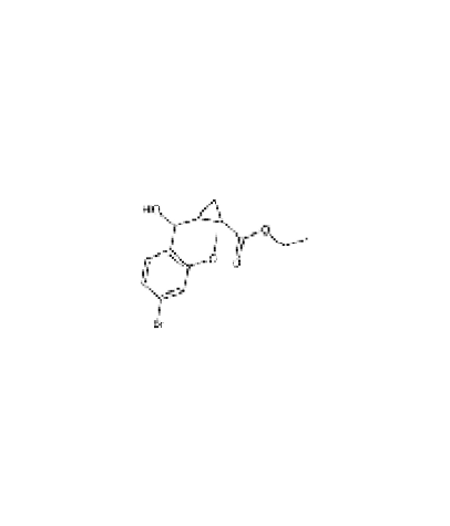 CCOC(=O)C1CC1C(O)c1ccc(Br)cc1OC